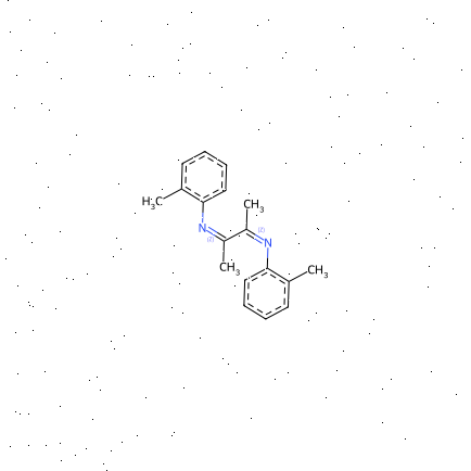 CC(=N/c1ccccc1C)/C(C)=N\c1ccccc1C